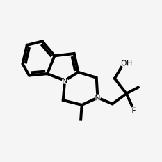 CC1Cn2c(cc3ccccc32)CN1CC(C)(F)CO